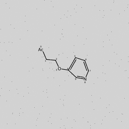 CC(=O)CCOc1cccnc1